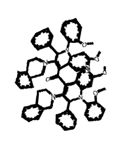 COc1cc2c(cn1)C(C(=O)C1=C(N3CCc4ccccc4C3)C(c3ccccc3)N(c3ccccc3OC)c3cc(OC)ncc31)=C(N1CCc3ccccc3C1)C(c1ccccc1)N2c1ccccc1OC